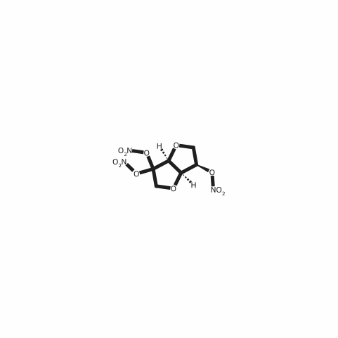 O=[N+]([O-])O[C@@H]1CO[C@H]2[C@@H]1OCC2(O[N+](=O)[O-])O[N+](=O)[O-]